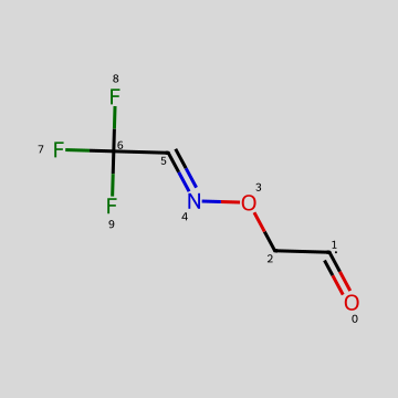 O=[C]CO/N=C/C(F)(F)F